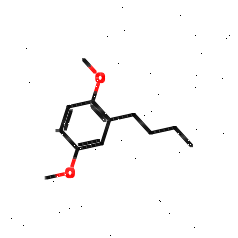 CCCCc1cc(OC)[c]cc1OC